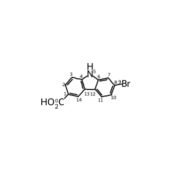 O=C(O)c1ccc2[nH]c3cc(Br)ccc3c2c1